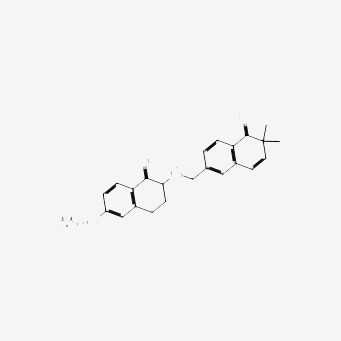 COc1ccc2c(c1)CCC(OCc1ccc3c(c1)C=CC(C)(C)C3=O)C2=O